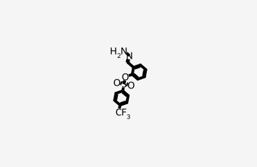 N/N=C/c1ccccc1OS(=O)(=O)c1ccc(C(F)(F)F)cc1